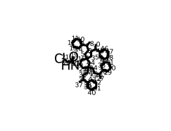 CC(CCC1(CCC(C)c2ccccc2)CC(NC(=O)CCl)CC(CCC(C)c2ccccc2)(CCC(C)c2ccccc2)C1)c1ccccc1